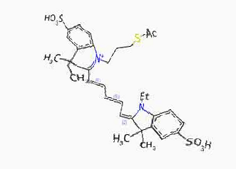 CCN1\C(=C/C=C/C=C/C2=[N+](CCCSC(C)=O)c3ccc(S(=O)(=O)O)cc3C2(C)C)C(C)(C)c2cc(S(=O)(=O)O)ccc21